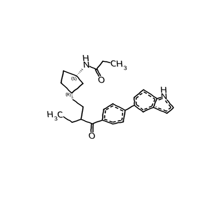 CCC(=O)N[C@H]1CC[C@@H](CCC(CC)C(=O)c2ccc(-c3ccc4[nH]ccc4c3)cc2)C1